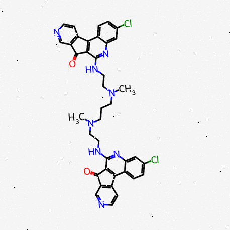 CN(CCCN(C)CCNc1nc2cc(Cl)ccc2c2c1C(=O)c1cnccc1-2)CCNc1nc2cc(Cl)ccc2c2c1C(=O)c1cnccc1-2